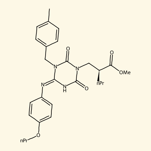 CCCOc1ccc(/N=c2\[nH]c(=O)n(C[C@H](CCC)C(=O)OC)c(=O)n2Cc2ccc(C)cc2)cc1